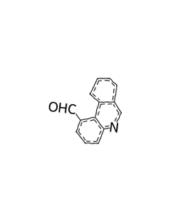 O=Cc1cccc2ncc3ccccc3c12